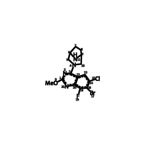 COc1nc(N2CC3CCC(C2)N3)c2cc(Cl)c(Br)c(F)c2n1